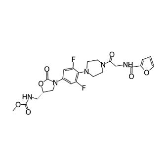 COC(=O)NC[C@H]1CN(c2cc(F)c(N3CCN(C(=O)CNC(=O)c4ccco4)CC3)c(F)c2)C(=O)O1